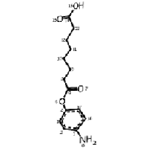 Nc1ccc(OC(=O)CCCCCCC(=O)O)cc1